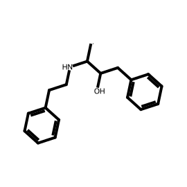 [CH2]C(NCCc1ccccc1)C(O)Cc1ccccc1